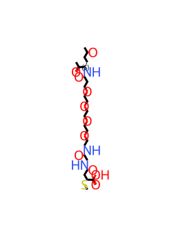 CSC(CC(=O)NCC(=O)NCCOCCOCCOCCOCCC(=O)N[C@@H](CCC(C)=O)C(C)=O)C(=O)O